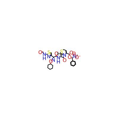 O=CNc1nc(C(=NOC2CCCCC2)C(=O)NC2C(=O)N3C(C(=O)OC(c4ccccc4)[N+](=O)[O-])=CCS[C@@H]23)cs1